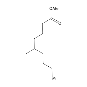 COC(=O)CCCC(C)CCCC(C)C